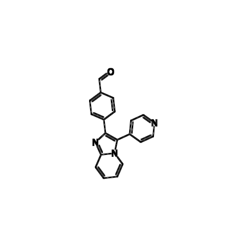 O=Cc1ccc(-c2nc3ccccn3c2-c2ccncc2)cc1